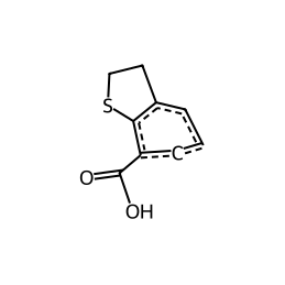 O=C(O)c1cccc2c1SCC2